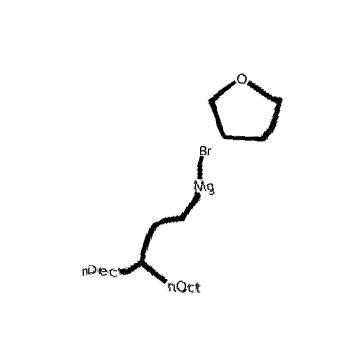 C1CCOC1.CCCCCCCCCCC(CCCCCCCC)C[CH2][Mg][Br]